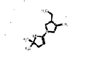 CCC1CN(C2=CCC(C)(C)N2)CC1C